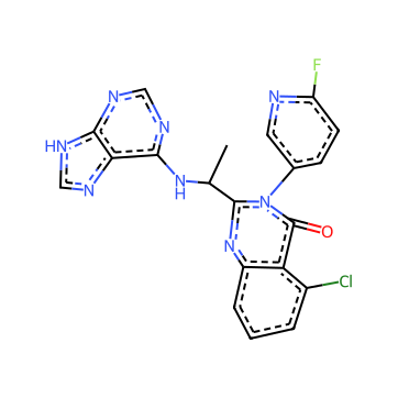 CC(Nc1ncnc2[nH]cnc12)c1nc2cccc(Cl)c2c(=O)n1-c1ccc(F)nc1